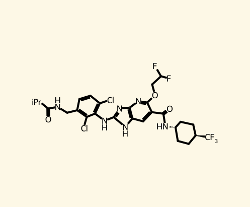 CC(C)C(=O)NCc1ccc(Cl)c(Nc2nc3nc(OCC(F)F)c(C(=O)N[C@H]4CC[C@H](C(F)(F)F)CC4)cc3[nH]2)c1Cl